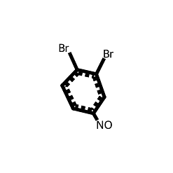 O=Nc1ccc(Br)c(Br)c1